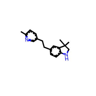 Cc1ccc(CCc2ccc3c(c2)C(C)(C)CN3)cn1